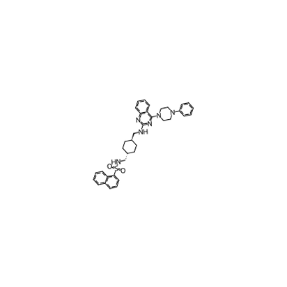 O=S(=O)(NC[C@H]1CC[C@H](CNc2nc(N3CCN(c4ccccc4)CC3)c3ccccc3n2)CC1)c1cccc2ccccc12